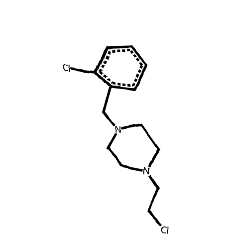 ClCCN1CCN(Cc2ccccc2Cl)CC1